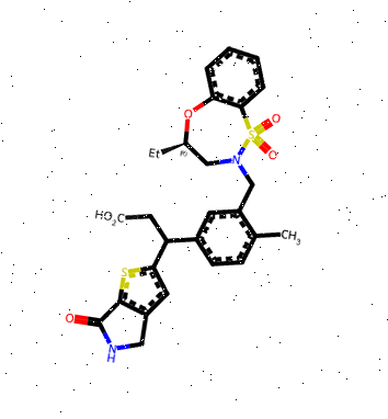 CC[C@@H]1CN(Cc2cc(C(CC(=O)O)c3cc4c(s3)C(=O)NC4)ccc2C)S(=O)(=O)c2ccccc2O1